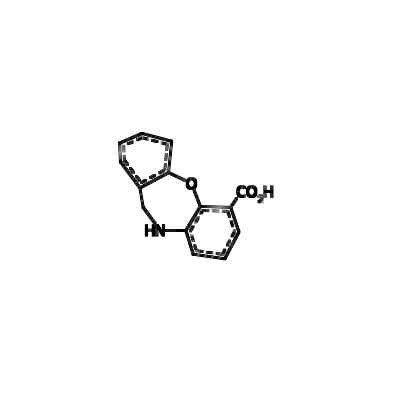 O=C(O)c1cccc2c1Oc1ccccc1CN2